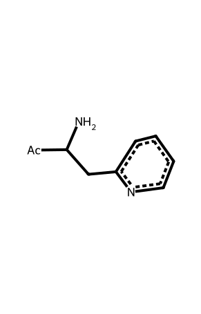 CC(=O)C(N)Cc1ccccn1